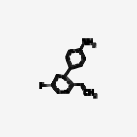 C=Cc1ccc(F)cc1-c1ccc(N)cc1